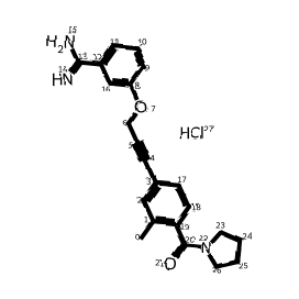 Cc1cc(C#CCOc2cccc(C(=N)N)c2)ccc1C(=O)N1CCCC1.Cl